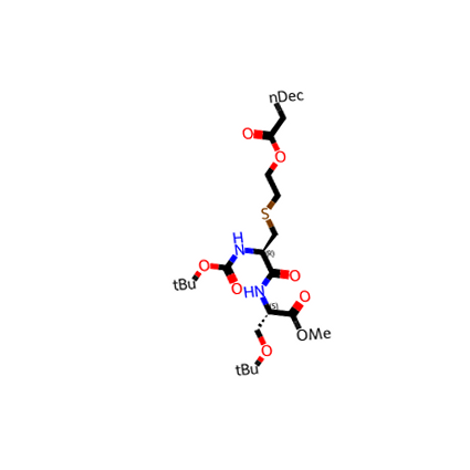 CCCCCCCCCCCC(=O)OCCSC[C@H](NC(=O)OC(C)(C)C)C(=O)N[C@@H](COC(C)(C)C)C(=O)OC